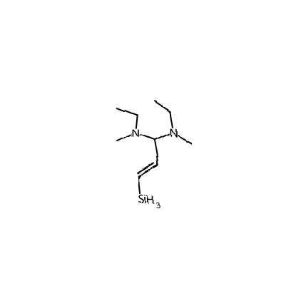 CCN(C)C(C=C[SiH3])N(C)CC